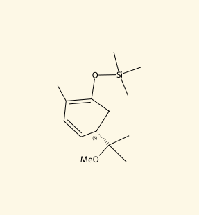 COC(C)(C)[C@@H]1C=CC(C)=C(O[Si](C)(C)C)C1